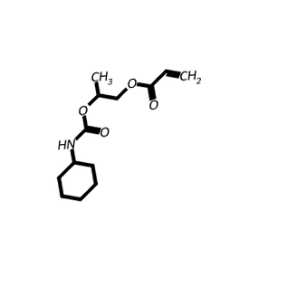 C=CC(=O)OCC(C)OC(=O)NC1CCCCC1